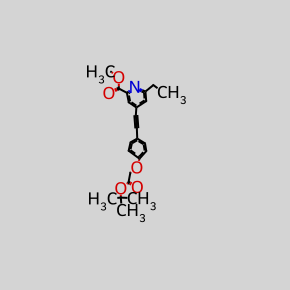 CCc1cc(C#Cc2ccc(OCC(=O)OC(C)(C)C)cc2)cc(C(=O)OC)n1